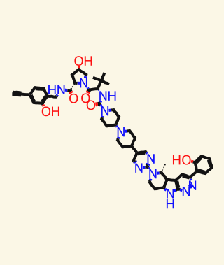 C#Cc1ccc(CNC(=O)[C@@H]2C[C@@H](O)CN2C(=O)[C@@H](NC(=O)N2CCC(N3CCC(c4cnc(N5CCC6Nc7nnc(-c8ccccc8O)cc7C6[C@H]5C)nc4)CC3)CC2)C(C)(C)C)c(O)c1